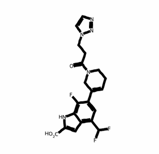 O=C(O)c1cc2c(C(F)F)cc(C3=CCCN(C(=O)CCn4ccnn4)C3)c(F)c2[nH]1